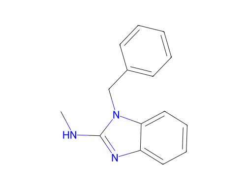 CNc1nc2ccccc2n1Cc1ccccc1